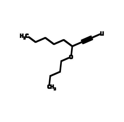 [Li][C]#CC(CCCCC)OCCCC